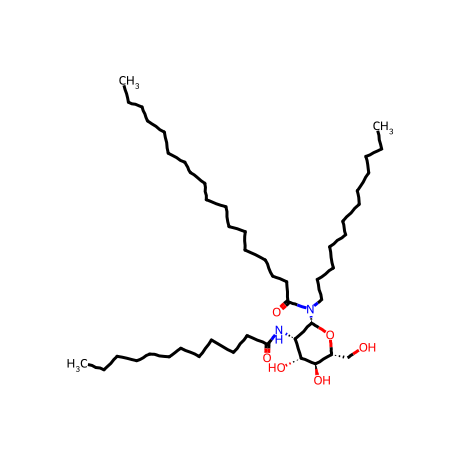 CCCCCCCCCCCCCCCCCC(=O)N(CCCCCCCCCCCC)[C@@H]1O[C@H](CO)[C@@H](O)[C@H](O)[C@@H]1NC(=O)CCCCCCCCCCC